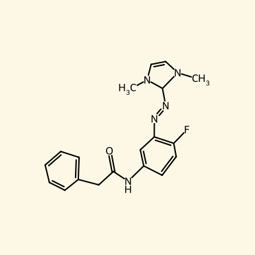 CN1C=CN(C)C1/N=N/c1cc(NC(=O)Cc2ccccc2)ccc1F